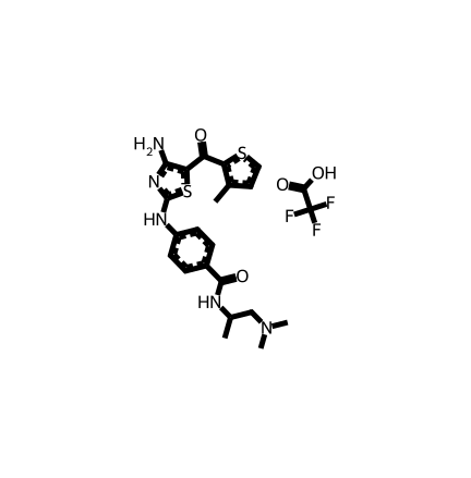 Cc1ccsc1C(=O)c1sc(Nc2ccc(C(=O)NC(C)CN(C)C)cc2)nc1N.O=C(O)C(F)(F)F